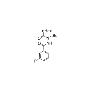 CCCCCCC(=O)N(NC(=O)c1cccc(F)c1)C(C)(C)C